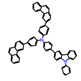 c1ccc(-n2c3ccccc3c3cc(-c4ccc(N(c5ccc(-c6ccc7ccc8ccccc8c7c6)cc5)c5ccc(-c6ccc7ccc8ccccc8c7c6)cc5)cc4)ccc32)cc1